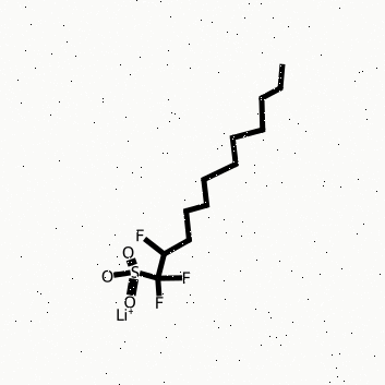 CCCCCCCCCCC(F)C(F)(F)S(=O)(=O)[O-].[Li+]